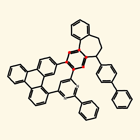 c1ccc(-c2ccc(C3CCc4ccccc4-c4cc(-c5ccc6c7ccccc7c7cccc(-c8cc(-c9ccccc9)nc(-c9ccccc9)n8)c7c6c5)ccc43)cc2)cc1